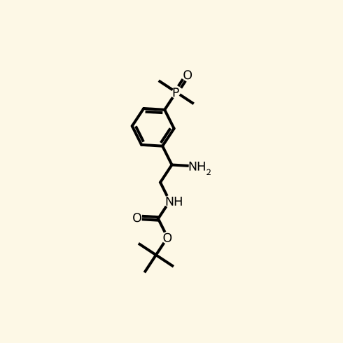 CC(C)(C)OC(=O)NCC(N)c1cccc(P(C)(C)=O)c1